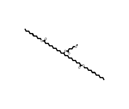 CCCC/C=C/CCCOC(=O)CCCCCCCCCC(CCCCCCCCC(=O)OCCCC/C=C/CCCCC)OC(=O)CCCOC